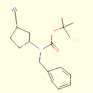 CC(C)(C)OC(=O)N(Cc1ccccc1)C1CCC(C#N)C1